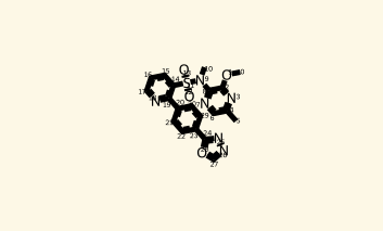 COc1nc(C)cnc1N(C)S(=O)(=O)c1cccnc1-c1ccc(-c2nnco2)cc1